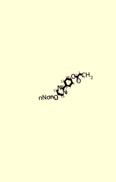 C=CC(=O)Oc1ccc(-c2ncc(OCCCCCCCCC)cn2)cc1